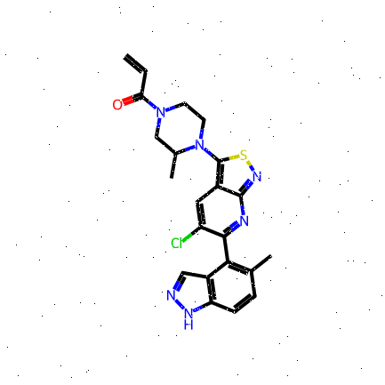 C=CC(=O)N1CCN(c2snc3nc(-c4c(C)ccc5[nH]ncc45)c(Cl)cc23)C(C)C1